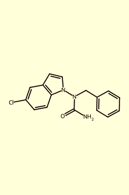 NC(=O)N(Cc1ccccc1)n1ccc2cc(Cl)ccc21